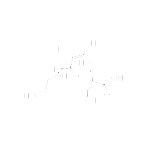 CC(C)=C(C)C(=O)O.CC=C(C)C(=O)O.OCCO